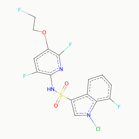 O=S(=O)(Nc1nc(F)c(OCCF)cc1F)c1cn(Cl)c2c(F)cccc12